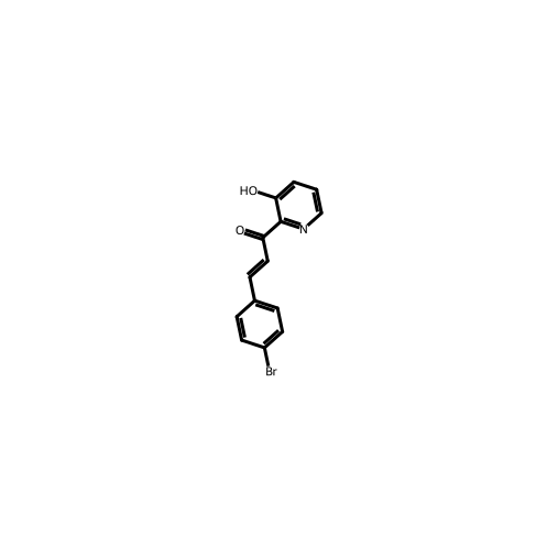 O=C(/C=C/c1ccc(Br)cc1)c1ncccc1O